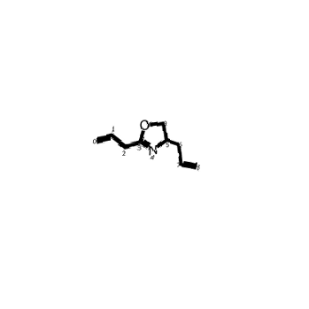 C=CCC1=NC(CC=C)CO1